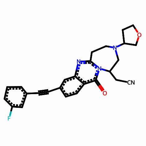 N#CCC1CN(C2CCOC2)CCc2nc3cc(C#Cc4cccc(F)c4)ccc3c(=O)n21